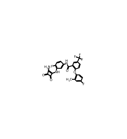 Cc1cc(F)ccc1Oc1ccc(C(F)(F)F)cc1C(=O)Nc1ccc(F)c(Nc2c(N)c(=O)c2=O)c1